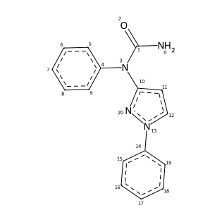 NC(=O)N(c1ccccc1)c1ccn(-c2ccccc2)n1